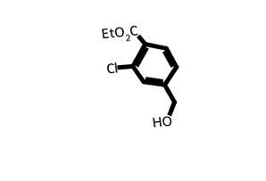 CCOC(=O)c1ccc(CO)cc1Cl